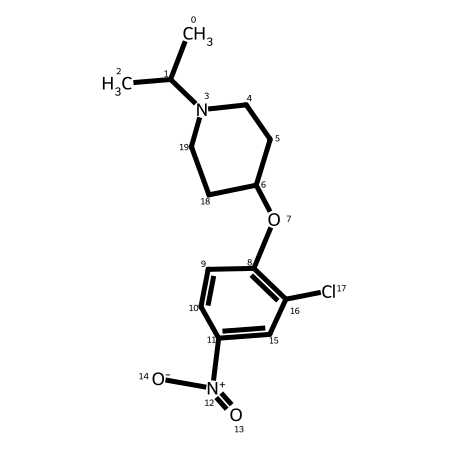 CC(C)N1CCC(Oc2ccc([N+](=O)[O-])cc2Cl)CC1